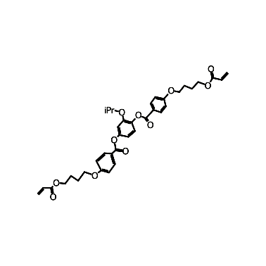 C=CC(=O)OCCCCOc1ccc(C(=O)Oc2ccc(OC(=O)c3ccc(OCCCCOC(=O)C=C)cc3)c(OC(C)C)c2)cc1